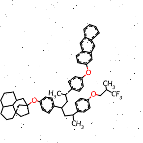 CC(CC(CC(C)c1ccc(Oc2ccc3cc4ccccc4cc3c2)cc1)c1ccc(OC23CCC4(CCCC5CCCC(C2)C54)C3)cc1)c1ccc(OCC(C)C(F)(F)F)cc1